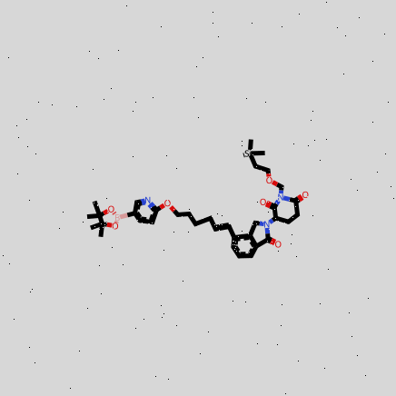 CC1(C)OB(c2ccc(OCCCC/C=C/c3cccc4c3CN(C3CCC(=O)N(COCC[Si](C)(C)C)C3=O)C4=O)nc2)OC1(C)C